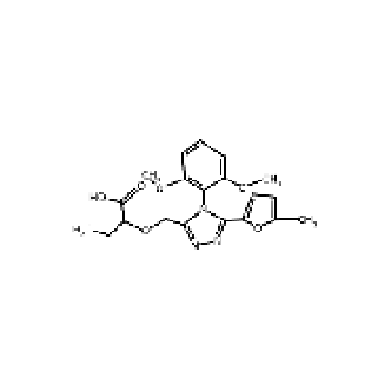 CCC(OCc1nnc(-c2ccc(C)o2)n1-c1c(OC)cccc1OC)C(=O)O